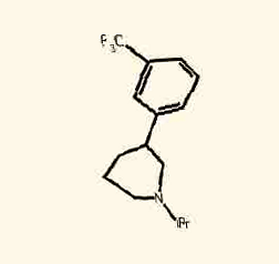 CC(C)N1CCCC(c2cccc(C(F)(F)F)c2)C1